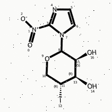 O=[N+]([O-])c1nccn1C1OC[C@@H](I)[C@H](O)[C@@H]1O